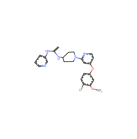 C=C(Nc1cccnc1)NC1CCN(c2cc(Oc3ccc(Cl)c(OC(F)(F)F)c3)ccn2)CC1